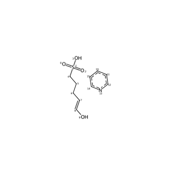 O=S(=O)(O)CCCC=CO.c1ccncc1